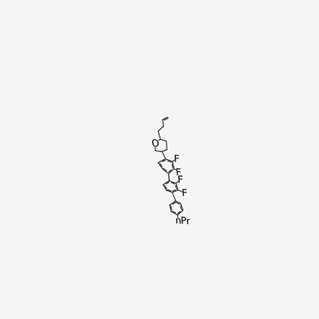 C=CCCC1CCC(c2ccc(-c3ccc(-c4ccc(CCC)cc4)c(F)c3F)c(F)c2F)CO1